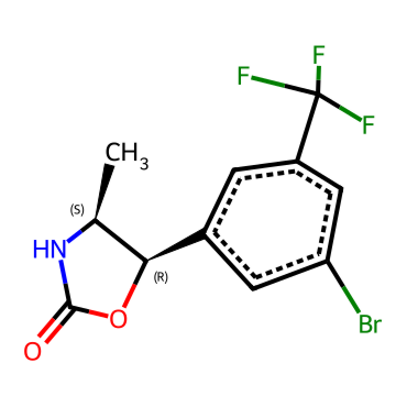 C[C@@H]1NC(=O)O[C@@H]1c1cc(Br)cc(C(F)(F)F)c1